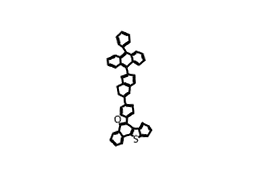 C1=C(c2ccc3c(c2)oc2c4ccccc4c4sc5ccccc5c4c32)CCc2cc(-c3c4ccccc4c(-c4ccccc4)c4ccccc34)ccc21